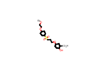 CCOCCOc1ccc(S(=O)(=O)CCCOc2ccc(O)c(C(=O)O)c2)cc1